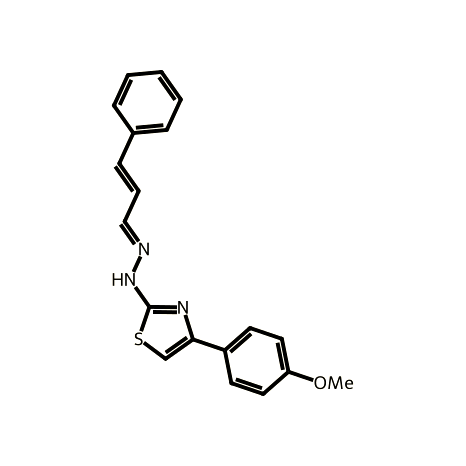 COc1ccc(-c2csc(NN=CC=Cc3ccccc3)n2)cc1